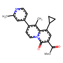 COC(=O)c1cc(C2CC2)c2c(C)c(-c3ccnc(C)c3)ccn2c1=O